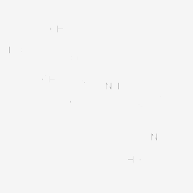 CN1CCC[C@H]1CNC(=O)OC(C)(C)C